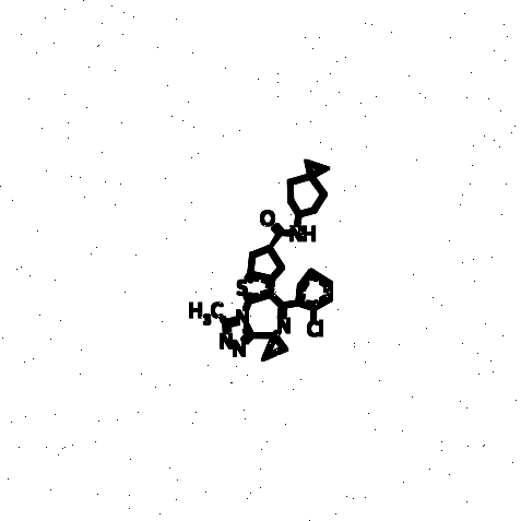 Cc1nnc2n1-c1sc3c(c1C(c1ccccc1Cl)=NC21CC1)C[C@H](C(=O)NC1CCC2(CC1)CC2)C3